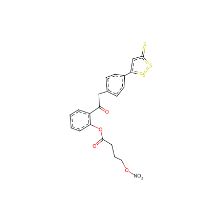 O=C(CCCO[N+](=O)[O-])Oc1ccccc1C(=O)Cc1ccc(-c2cc(=S)ss2)cc1